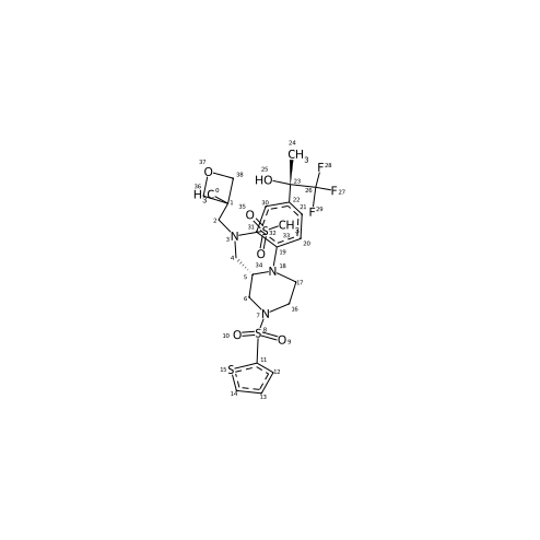 CC1(CN(C[C@H]2CN(S(=O)(=O)c3cccs3)CCN2c2ccc([C@](C)(O)C(F)(F)F)cc2)S(C)(=O)=O)COC1